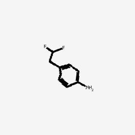 Nc1ccc(CC(F)F)cc1